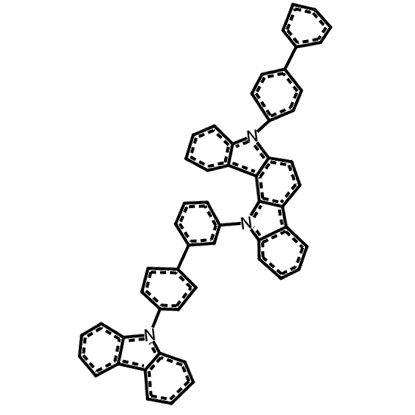 c1ccc(-c2ccc(-n3c4ccccc4c4c3ccc3c5ccccc5n(-c5cccc(-c6ccc(-n7c8ccccc8c8ccccc87)cc6)c5)c34)cc2)cc1